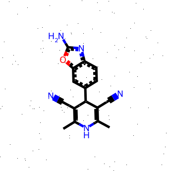 CC1=C(C#N)C(c2ccc3nc(N)oc3c2)C(C#N)=C(C)N1